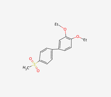 CCOc1ccc(-c2ccc(S(C)(=O)=O)cc2)cc1OCC